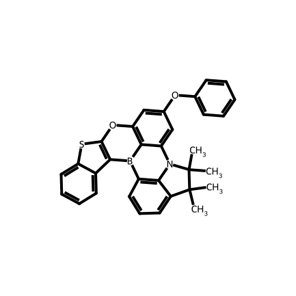 CC1(C)c2cccc3c2N(c2cc(Oc4ccccc4)cc4c2B3c2c(sc3ccccc23)O4)C1(C)C